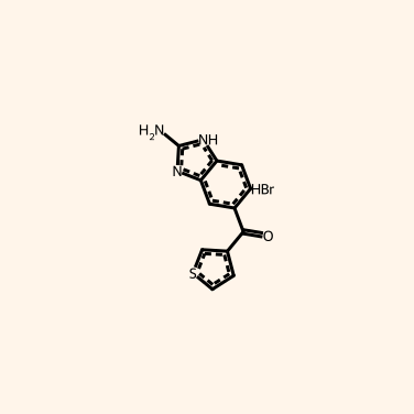 Br.Nc1nc2cc(C(=O)c3ccsc3)ccc2[nH]1